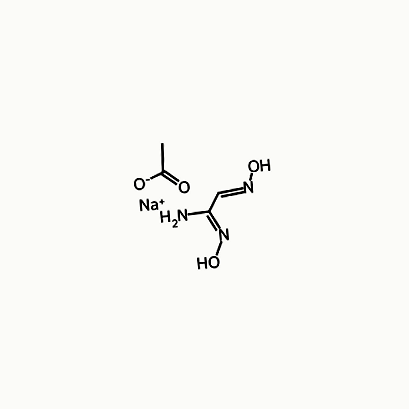 CC(=O)[O-].NC(C=NO)=NO.[Na+]